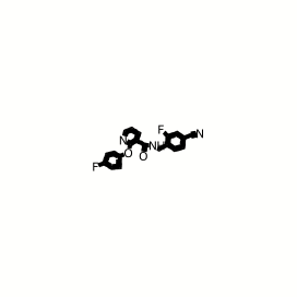 N#Cc1ccc(CNC(=O)c2cccnc2Oc2ccc(F)cc2)c(F)c1